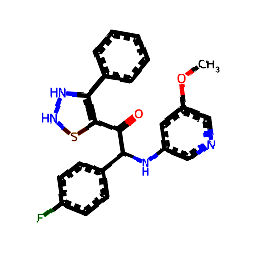 COc1cncc(NC(C(=O)C2=C(c3ccccc3)NNS2)c2ccc(F)cc2)c1